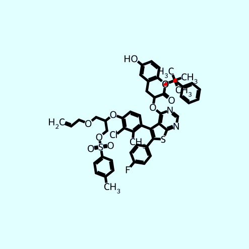 C=CCOCC(COS(=O)(=O)c1ccc(C)cc1)Oc1ccc(-c2c(-c3ccc(F)cc3)sc3ncnc(OC(Cc4cc(O)ccc4OCc4ccccc4)C(=O)OC(C)(C)C)c23)c(C)c1Cl